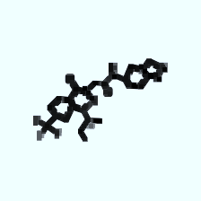 CC[C@H](C)c1nn(CC(=O)Nc2ccc3nncn3c2)c(=O)c2ccc(C(F)(F)F)cc12